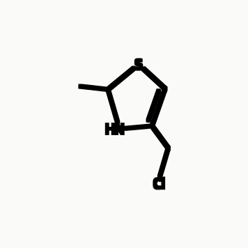 CC1NC(CCl)=CS1